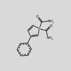 NC(=O)S1(C(N)=O)C=CC(c2ccccc2)=C1